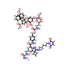 COC(=O)[C@H]1C[C@@]2(O)c3c(OC)cc(OC4OC(CCNC(=O)OCc5ccc(NC(=O)[C@H](CCCNC(N)=O)NC(=O)C6(C(=O)NCCCCCN7C(=O)C=CC7=O)CCC6)cc5)CO[C@H]4OC)cc3O[C@@]2(c2ccc(OC)cc2)[C@@H]1c1ccccc1